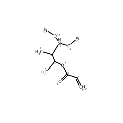 C=CC(=O)OC(C)C(C)[SiH](OCC)OCC